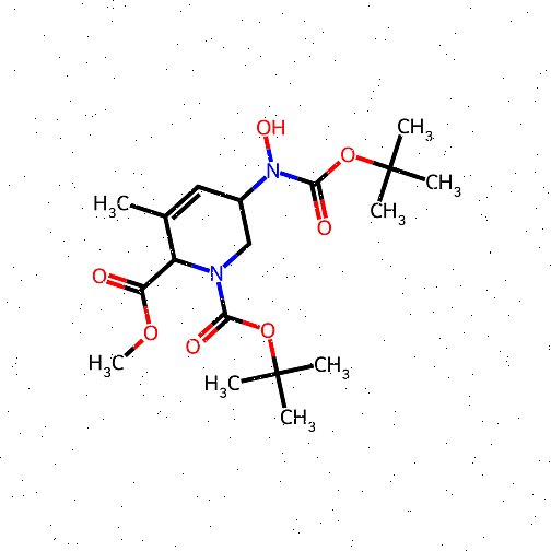 COC(=O)C1C(C)=CC(N(O)C(=O)OC(C)(C)C)CN1C(=O)OC(C)(C)C